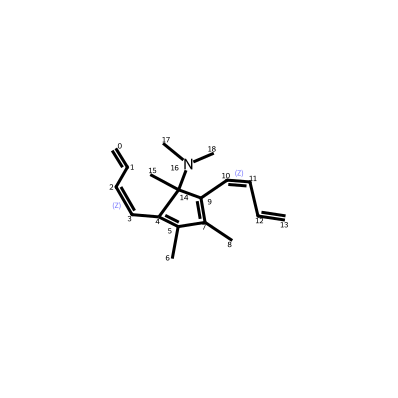 C=C/C=C\C1=C(C)C(C)=C(/C=C\C=C)C1(C)N(C)C